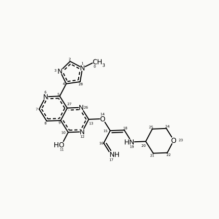 Cn1cnc(-c2nccc3c(O)nc(O/C(C=N)=C/NC4CCOCC4)nc23)c1